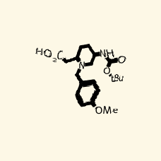 COc1ccc(CN2CC(NC(=O)OC(C)(C)C)CCC2CC(=O)O)cc1